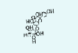 O=C1c2c(O)cc(OC3CC(CO)[C@@H](O)C(O)[C@H]3O)cc2OC(c2ccc(O)cc2)C1O